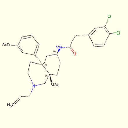 C=CCN1CC[C@@]2(c3cccc(OC(C)=O)c3)C[C@@H](NC(=O)Cc3ccc(Cl)c(Cl)c3)CC[C@]2(OC(C)=O)C1